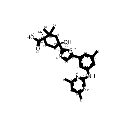 Cc1cc(Nc2nc(C)cc(C)n2)cc(-c2cnc([C@]3(O)CC[C@@](C)(C(=O)O)C(C)(C)C3)s2)c1